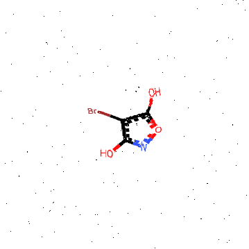 Oc1noc(O)c1Br